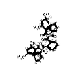 Cc1cc(C)c(C(=O)P(=O)(C(=O)c2ccccc2C(=O)P(=O)(C(=O)c2c(C)cc(C)cc2C)c2ccccc2)c2ccccc2)c(C)c1